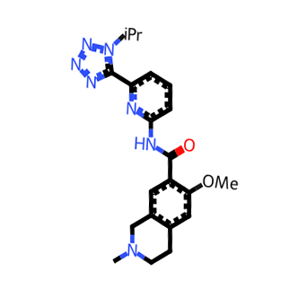 COc1cc2c(cc1C(=O)Nc1cccc(-c3nnnn3C(C)C)n1)CN(C)CC2